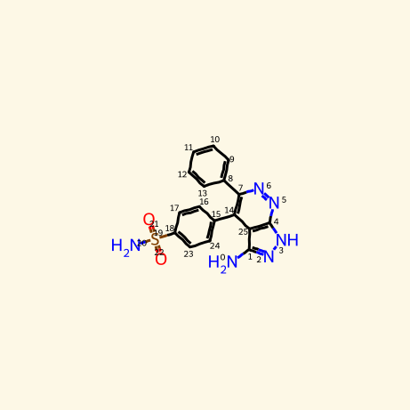 Nc1n[nH]c2nnc(-c3ccccc3)c(-c3ccc(S(N)(=O)=O)cc3)c12